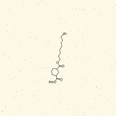 COC(=O)C1CCCC(C(=O)OCCCCCCCCC(C)C)C1